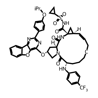 CC(C)Oc1ccc(-c2nc(O[C@@H]3C[C@H]4C(=O)N[C@]5(C(=O)NS(=O)(=O)C6CC6)C[C@H]5/C=C\CCCCC[C@H](Nc5ccc(C(F)(F)F)cc5)C(=O)N4C3)c3oc4ccccc4c3n2)cc1